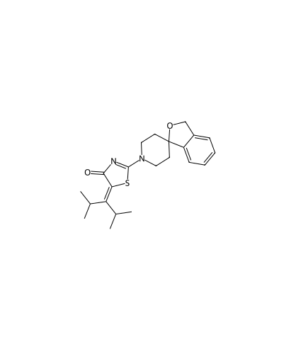 CC(C)C(=C1SC(N2CCC3(CC2)OCc2ccccc23)=NC1=O)C(C)C